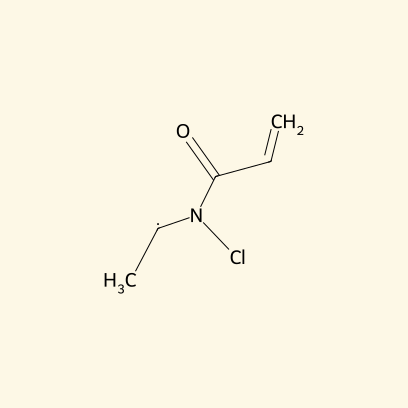 C=CC(=O)N(Cl)[CH]C